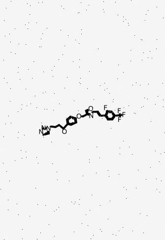 O=C(CCCn1ccnn1)c1ccc(OCc2coc(C=Cc3ccc(C(F)(F)F)cc3F)n2)cc1